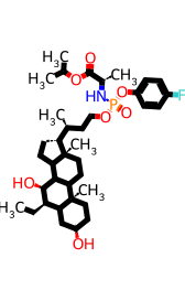 CC[C@@H]1C2C[C@H](O)CC[C@]2(C)C2CC[C@@]3(C)C(CC[C@@H]3[C@H](C)CCO[P@@](=O)(N[C@@H](C)C(=O)OC(C)C)Oc3ccc(F)cc3)C2[C@@H]1O